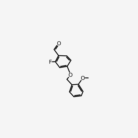 COc1ccccc1COc1ccc(C=O)c(F)c1